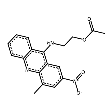 CC(=O)OCCNc1c2ccccc2nc2c(C)cc([N+](=O)[O-])cc12